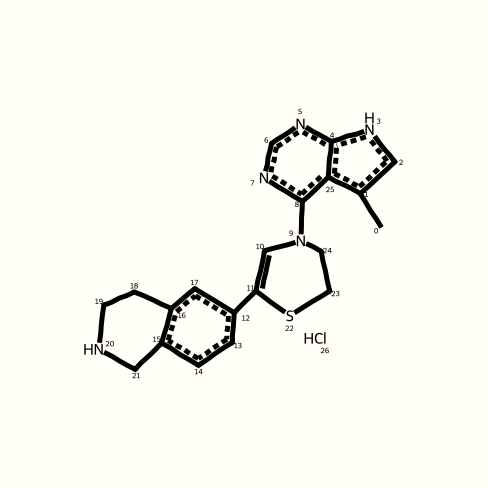 Cc1c[nH]c2ncnc(N3C=C(c4ccc5c(c4)CCNC5)SCC3)c12.Cl